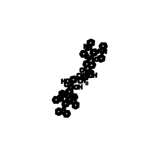 CC(C)(c1ccc(O)c(N2C(=O)c3ccc4c5c(ccc(c35)C2=O)C(=O)N(c2cc(-n3c(-c5ccccc5)nc5ccccc53)cc(-n3c(-c5ccccc5)nc5ccccc53)c2)C4=O)c1)c1ccc(O)c(N2C(=O)c3cc4c(cc3C2O)C(=O)N(c2c(-n3c5ccccc5c5ccccc53)cc(-n3c5ccccc5c5ccccc53)cc2-n2c3ccccc3c3ccccc32)C4=O)c1